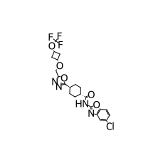 O=C(Nc1nc2cc(Cl)ccc2o1)[C@H]1CC[C@H](c2nnc(CO[C@H]3C[C@@H](OC(F)(F)F)C3)o2)CC1